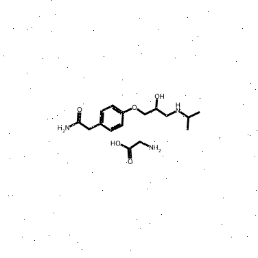 CC(C)NCC(O)COc1ccc(CC(N)=O)cc1.NCC(=O)O